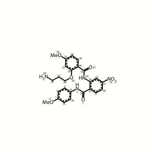 COc1ccc(NC(=O)c2ccc([N+](=O)[O-])cc2NC(=O)c2ccc(OC)cc2OCCCN)cc1